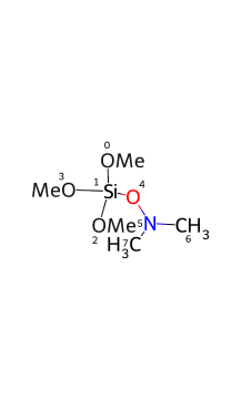 CO[Si](OC)(OC)ON(C)C